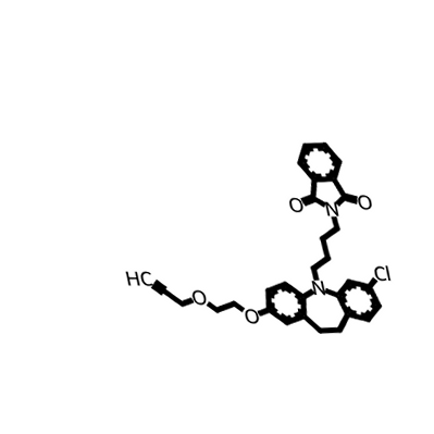 C#CCOCCOc1ccc2c(c1)CCc1ccc(Cl)cc1N2CCCCN1C(=O)c2ccccc2C1=O